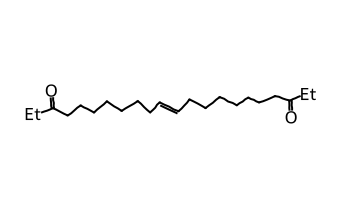 CCC(=O)CCCCCCC/C=C/CCCCCCCC(=O)CC